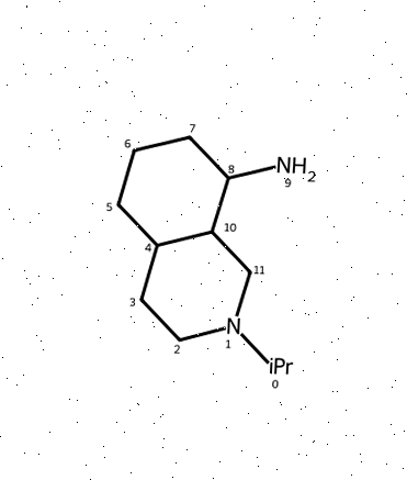 CC(C)N1CCC2CCCC(N)C2C1